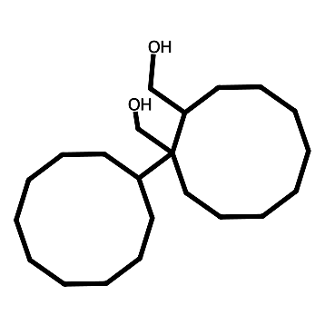 OCC1CCCCCCCCC1(CO)C1CCCCCCCCC1